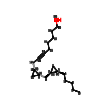 CCCCC[C@@H]1C[C@@H]1C[C@@H]1C[C@@H]1CC#CCCCCCO